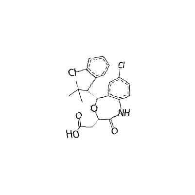 CC(C)(C)C(c1ccccc1Cl)[C@H]1O[C@@H](CC(=O)O)C(=O)Nc2ccc(Cl)cc21